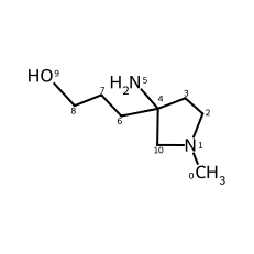 CN1CCC(N)(CCCO)C1